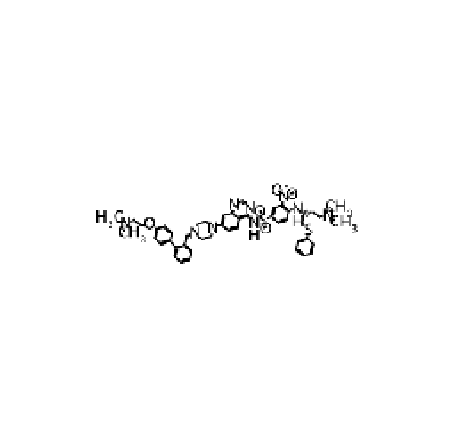 CN(C)CCOc1ccc(-c2ccccc2CN2CCN(c3ccc4c(NS(=O)(=O)c5ccc(N[C@H](CCN(C)C)CSc6ccccc6)c([N+](=O)[O-])c5)ncnc4c3)CC2)cc1